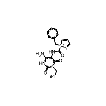 CC(C)Cn1c(=O)[nH]c(N)c(NC(=O)[N+]2(Cc3ccccc3)C=CC=N2)c1=O